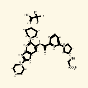 O=C(O)C(F)(F)F.O=C(O)CN[C@H]1CCN(c2cccc(C(=O)Nc3cc4sc(N5CCOCC5)nc4nc3N3CCCCC3)n2)C1